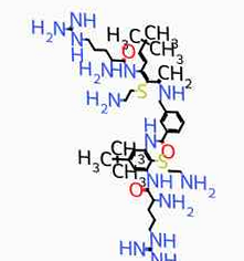 C=C(NCc1cccc(C(=O)Nc2cc(C(C)(C)C)cc(NC(=O)[C@@H](N)CCCNC(=N)N)c2SCCN)c1)/C(SCCN)=C(\C=C\C(C)(C)C)NC(=O)[C@@H](N)CCCNC(=N)N